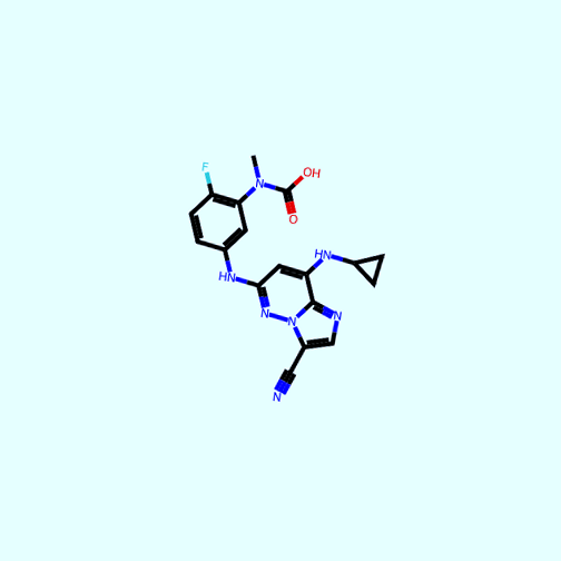 CN(C(=O)O)c1cc(Nc2cc(NC3CC3)c3ncc(C#N)n3n2)ccc1F